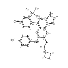 Cc1cnc(NC(=O)[C@H](COC2CCC2)Oc2nc(-c3ncc(Cl)cc3C(F)(F)F)nc3[nH]ncc23)cn1